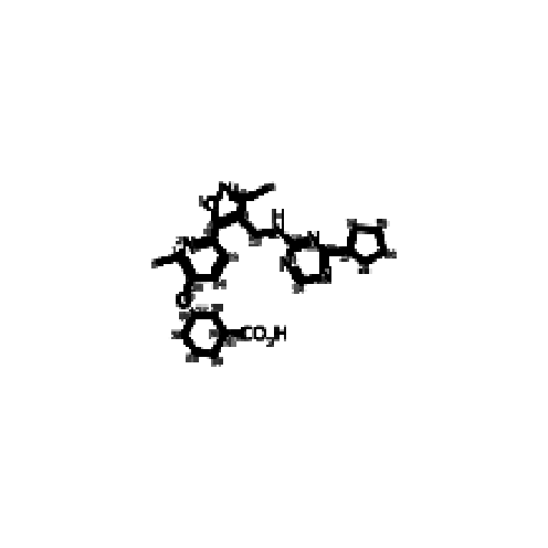 Cc1nc(-c2onc(C)c2CNc2ncnc(C3CCCC3)n2)ccc1O[C@H]1CCC[C@H](C(=O)O)C1